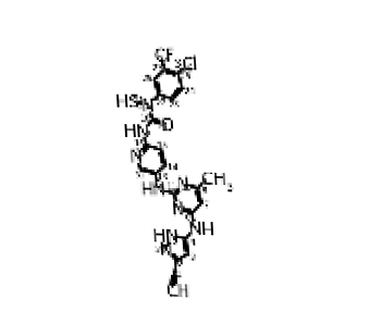 C#Cc1cc(Nc2cc(C)nc(Nc3ccc(NC(=O)N(S)c4ccc(Cl)c(C(F)(F)F)c4)nc3)n2)[nH]n1